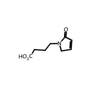 O=C(O)CCCN1CC=CC1=O